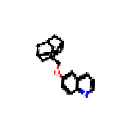 c1cnc2ccc(OCC34CC5CC(CC(C5)C3)C4)cc2c1